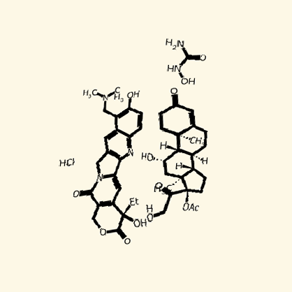 CC(=O)O[C@]1(C(=O)CO)CC[C@H]2[C@@H]3CCC4=CC(=O)CC[C@]4(C)[C@H]3[C@@H](O)C[C@@]21C.CC[C@@]1(O)C(=O)OCc2c1cc1n(c2=O)Cc2cc3c(CN(C)C)c(O)ccc3nc2-1.Cl.NC(=O)NO